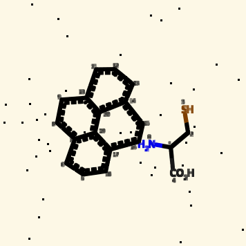 NC(CS)C(=O)O.c1cc2ccc3cccc4ccc(c1)c2c34